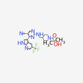 CC(C)(O)C(=O)N1CCC(CNc2ncc(C#N)c(-c3c[nH]c4ncc(C(F)(F)F)cc34)n2)CC1